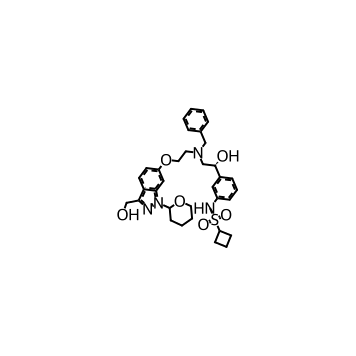 O=S(=O)(Nc1cccc([C@@H](O)CN(CCOc2ccc3c(CO)nn(C4CCCCO4)c3c2)Cc2ccccc2)c1)C1CCC1